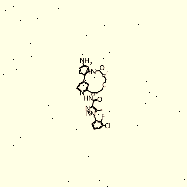 Cc1c(C(=O)N[C@H]2CCCC[C@@H](C)C(=O)Nc3cc(N)ccc3-c3ccnc2c3)nnn1-c1cccc(Cl)c1F